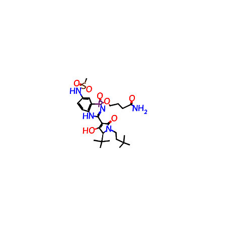 CC(C)(C)CCN1C(=O)C(C2=NP(=O)(OCCCC(N)=O)c3cc(NS(C)(=O)=O)ccc3N2)=C(O)[C@@H]1C(C)(C)C